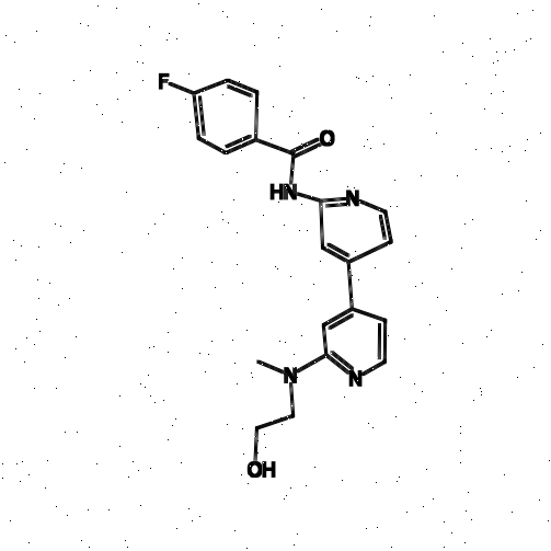 CN(CCO)c1cc(-c2ccnc(NC(=O)c3ccc(F)cc3)c2)ccn1